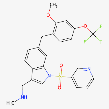 CNCc1cn(S(=O)(=O)c2cccnc2)c2cc(Cc3ccc(OC(F)(F)F)cc3OC)ccc12